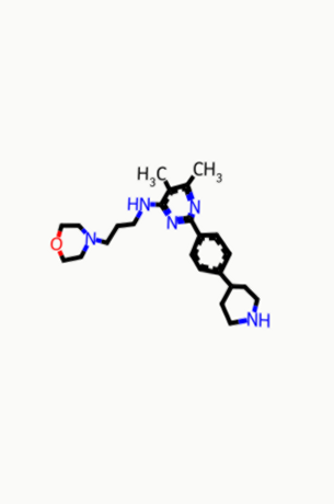 Cc1nc(-c2ccc(C3CCNCC3)cc2)nc(NCCCN2CCOCC2)c1C